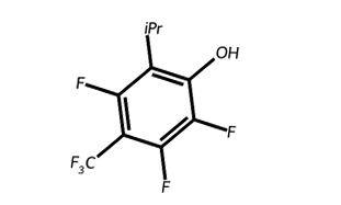 CC(C)c1c(O)c(F)c(F)c(C(F)(F)F)c1F